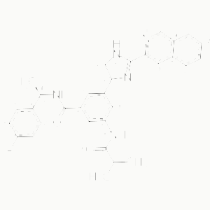 CC(C)C(=O)Nc1cc(C(=O)N[C@H](C)c2ccc(F)cc2)cc(C2CNC(c3cc4ccccc4cn3)=N2)c1